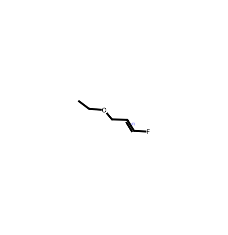 CCOC/C=C/F